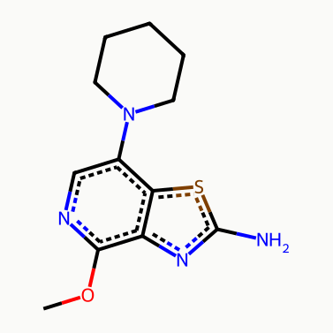 COc1ncc(N2CCCCC2)c2sc(N)nc12